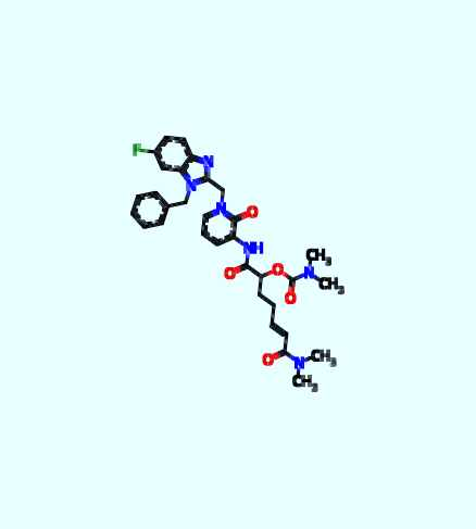 CN(C)C(=O)/C=C/CCC(OC(=O)N(C)C)C(=O)Nc1cccn(Cc2nc3ccc(F)cc3n2Cc2ccccc2)c1=O